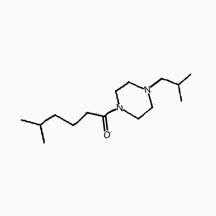 CC(C)CCCC(=O)N1CCN(CC(C)C)CC1